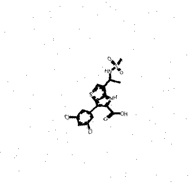 CC(NS(C)(=O)=O)c1csc2c(-c3cc(Cl)cc(Cl)c3)c(C(=O)O)[nH]c12